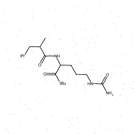 CC(C)CC(C)C(=O)NC(CCCNC(N)=O)C(=O)C(C)(C)C